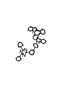 c1ccc(-c2nc(-c3ccccc3)nc(-c3cccc(-c4ccc(-n5c6ccccc6c6c7c8ccccc8c8cc9ccccc9n8c7ccc65)cc4)c3)n2)cc1